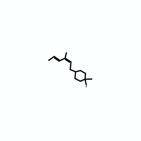 CC=C/C(C)=C\CC1CCC(C)(F)CC1